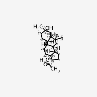 CC(=O)[C@H]1CC[C@H]2[C@@H]3CC(F)(F)[C@H]4C[C@@](C)(O)CC[C@@H]4[C@H]3CC[C@]12C